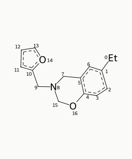 CCc1ccc2c(c1)CN(Cc1ccco1)CO2